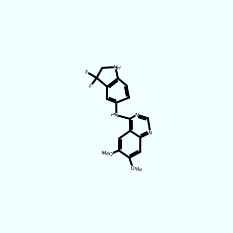 COc1cc2ncnc(Nc3ccc4c(c3)C(F)(F)CN4)c2cc1OC